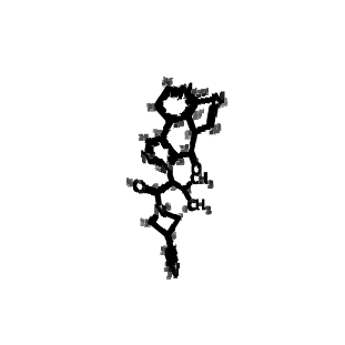 CC(C)C(C(=O)N1CC(C#N)C1)n1ncc2c1C(=O)C1C=Nc3nccc-2c31